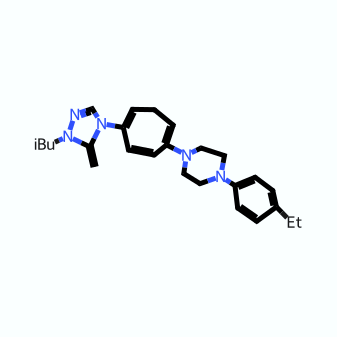 C=C1N(C2=CCC=C(N3CCN(c4ccc(CC)cc4)CC3)C=C2)C=NN1C(C)CC